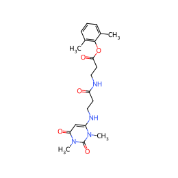 Cc1cccc(C)c1OC(=O)CCNC(=O)CCNc1cc(=O)n(C)c(=O)n1C